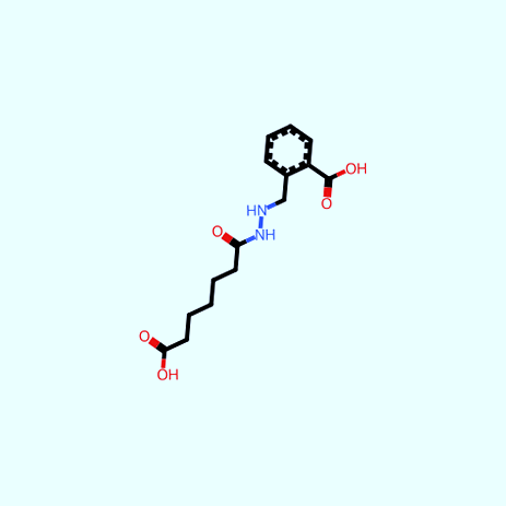 O=C(O)CCCCCC(=O)NNCc1ccccc1C(=O)O